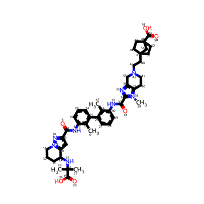 Cc1c(NC(=O)c2cc3n(n2)CCCC3NC(C)(C)C(=O)O)cccc1-c1cccc(NC(=O)c2nc3c(n2C)CCN(CCC24CCC(C(=O)O)(CC2)C4)C3)c1C